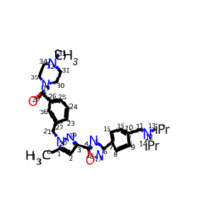 Cc1cc(-c2nc(-c3ccc(CN(C(C)C)C(C)C)cc3)no2)nn1Cc1cccc(C(=O)N2CCN(C)CC2)c1